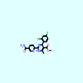 COC(=O)C1=C(C)NC(c2ccc(C(N)=O)cn2)=NC1c1ccc(F)cc1Cl